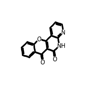 O=c1[nH]c2ncccc2c2oc3ccccc3c(=O)c12